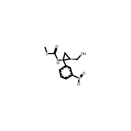 COC(=O)N[C@@]1(c2cccc([N+](=O)[O-])c2)C[C@H]1CO